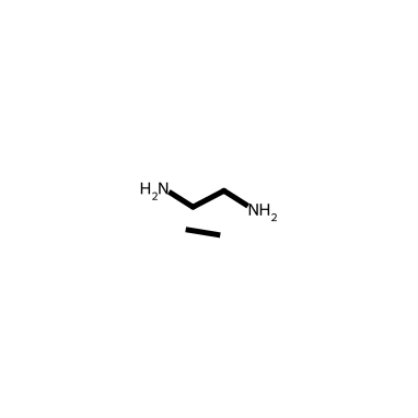 CC.NCCN